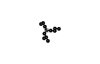 c1ccc(-c2cccc3c(-c4ccc(-c5nc(-c6ccc(-c7cccc8ccccc78)cc6)nc(-c6cccc(-c7ccc(-c8ccccc8)c8ccccc78)c6)n5)cc4)cccc23)cc1